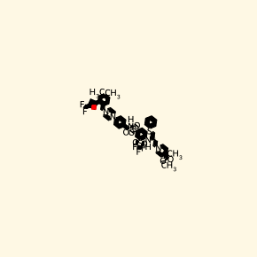 COC(=O)C1(C)CCN(CC[C@H](CSc2ccccc2)Nc2ccc(S(=O)(=O)NC(=O)c3ccc(N4CCN(CC5=C(C67CC(C(F)F)(C6)C7)CC(C)(C)CC5)CC4)cc3)cc2S(=O)(=O)C(F)(F)F)CC1